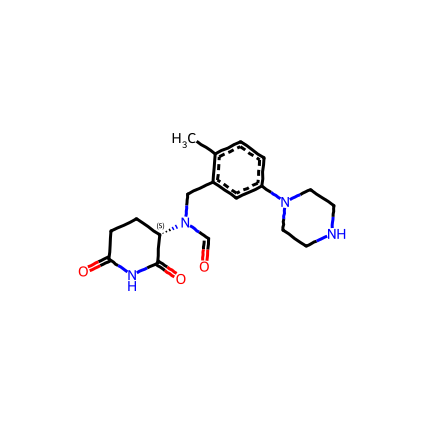 Cc1ccc(N2CCNCC2)cc1CN(C=O)[C@H]1CCC(=O)NC1=O